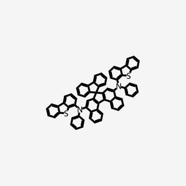 c1ccc(N(c2cc3c(c4ccccc24)-c2c(cc(N(c4ccccc4)c4cccc5c4sc4ccccc45)c4ccccc24)C32c3ccccc3-c3ccccc32)c2cccc3c2sc2ccccc23)cc1